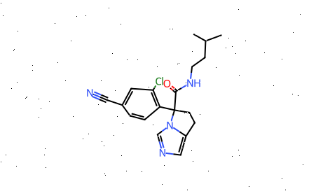 CC(C)CCNC(=O)C1(c2ccc(C#N)cc2Cl)CCc2cncn21